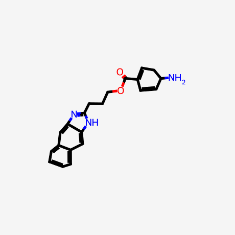 NC1C=CC(C(=O)OCCCc2nc3cc4ccccc4cc3[nH]2)=CC1